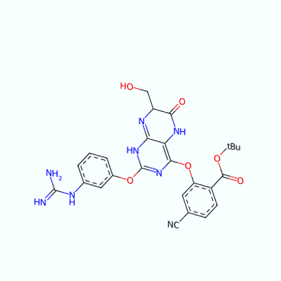 CC(C)(C)OC(=O)c1ccc(C#N)cc1OC1=C2NC(=O)C(CO)N=C2NC(Oc2cccc(NC(=N)N)c2)=N1